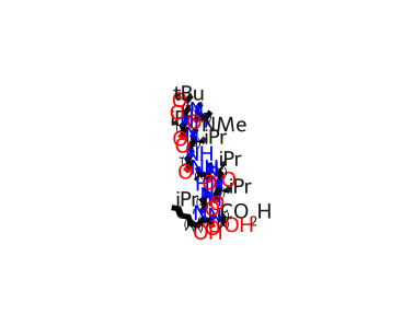 CC=CC[C@@H](C)[C@@H](O)[C@@H](C(=O)N[C@H](C(=O)O)[C@@H](C)O)N(C)C(=O)[C@H](C(C)C)N(C)C(=O)[C@H](CC(C)C)NC(=O)[C@H](CC(C)C)N(C)C(=O)[C@@H](C)NC(=O)[C@H](C)NC(=O)[C@H](CC(C)C)N(C)C(=O)[C@H](CC(C)C)NC(=O)[C@H](C(C)OC(C)(C)C)N(C)C(=O)[C@@H](C)NC